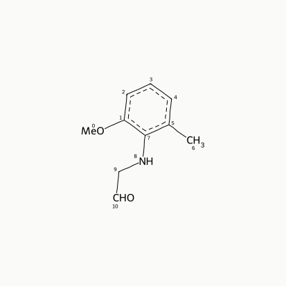 COc1cccc(C)c1NCC=O